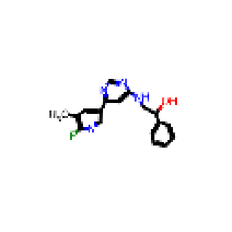 Cc1cc(-c2cc(NCC(O)c3ccccc3)ncn2)cnc1F